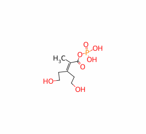 CC(C(=O)OP(=O)(O)O)=C(CCO)CCO